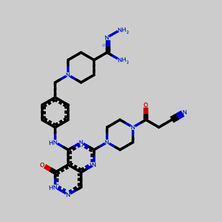 N#CCC(=O)N1CCN(c2nc(Nc3ccc(CN4CCC(/C(N)=N/N)CC4)cc3)c3c(=O)[nH]ncc3n2)CC1